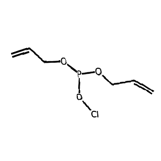 C=CCOP(OCl)OCC=C